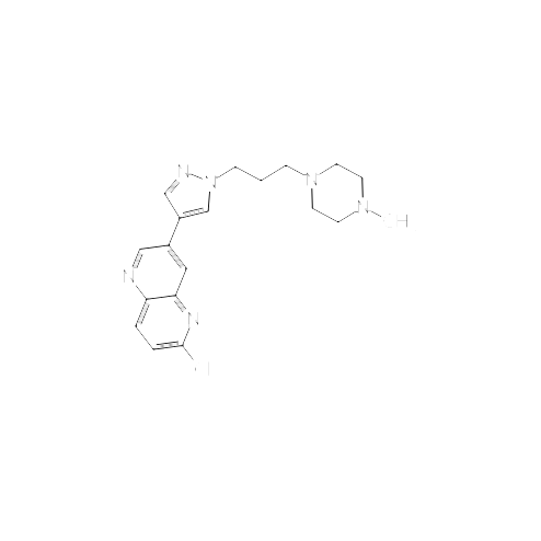 CN1CCN(CCCn2cc(-c3cnc4ccc(Cl)nc4c3)cn2)CC1